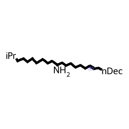 CCCCCCCCCCC/C=C/CCCCCCC(N)CCCCCCCCC(C)C